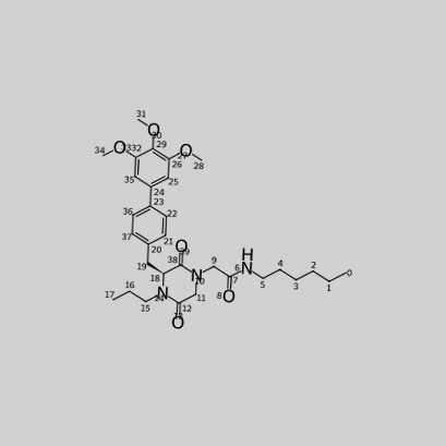 CCCCCCNC(=O)CN1CC(=O)N(CCC)[C@@H](Cc2ccc(-c3cc(OC)c(OC)c(OC)c3)cc2)C1=O